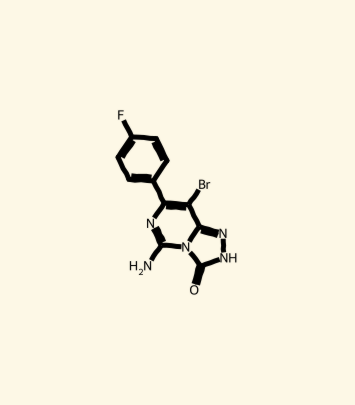 Nc1nc(-c2ccc(F)cc2)c(Br)c2n[nH]c(=O)n12